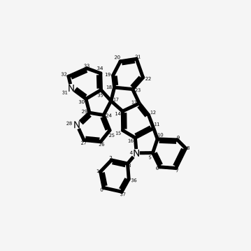 c1ccc(-n2c3ccccc3c3cc4c(cc32)C2(c3ccccc3-4)c3cccnc3-c3ncccc32)cc1